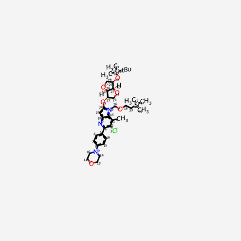 Cc1c(Cl)c(-c2ccc(N3CCOCC3)cc2)nc2cc(O[C@@H]3CO[C@H]4[C@@H]3OC[C@H]4O[Si](C)(C)C(C)(C)C)n(COCC[Si](C)(C)C)c12